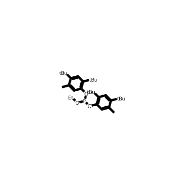 CCOP(Oc1cc(C)c(C(C)(C)C)cc1C(C)(C)C)Oc1cc(C)c(C(C)(C)C)cc1C(C)(C)C